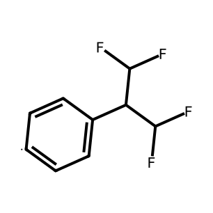 FC(F)C(c1cc[c]cc1)C(F)F